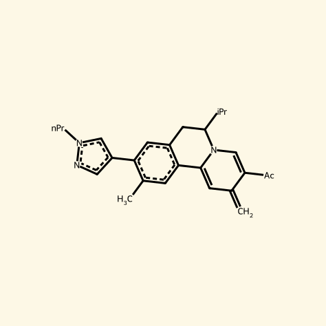 C=C1C=C2c3cc(C)c(-c4cnn(CCC)c4)cc3CC(C(C)C)N2C=C1C(C)=O